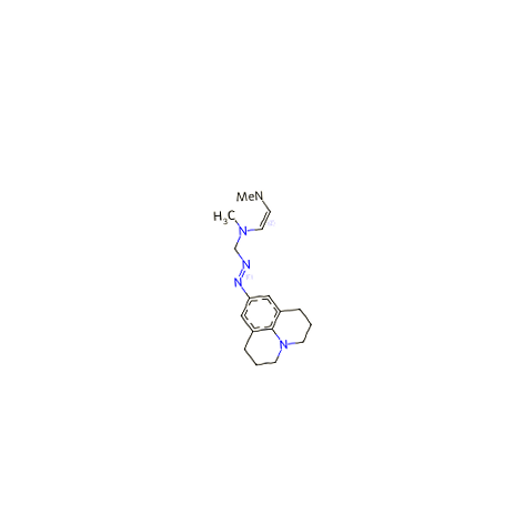 CN/C=C\N(C)C/N=N/c1cc2c3c(c1)CCCN3CCC2